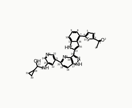 CC(=O)c1ccc(-c2cccc3[nH]c(-c4n[nH]c5ccc(-c6cncc(NC(O)C7CC7)c6)nc45)cc23)s1